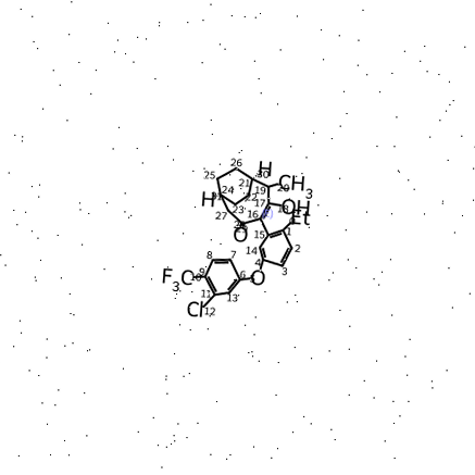 CCc1ccc(Oc2ccc(C(F)(F)F)c(Cl)c2)cc1/C1=C(\O)C(C)[C@H]2CC[C@H](CC2)CC1=O